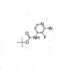 CC(C)(C)OC(=O)Nc1ccnc(Br)c1F